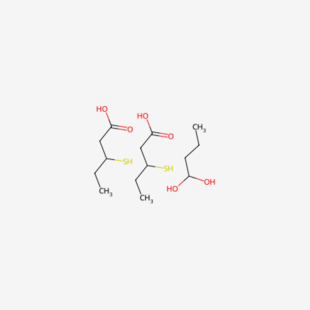 CCC(S)CC(=O)O.CCC(S)CC(=O)O.CCCC(O)O